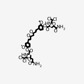 COc1cc(/C=C/C(=O)CC(=O)/C=C/c2ccc(OC(=O)[C@H](CCC(N)=O)NC(=O)C(Cl)Cl)c(OC)c2)ccc1OC(=O)[C@H](CCCC(N)=O)NC(=O)C(Cl)Cl